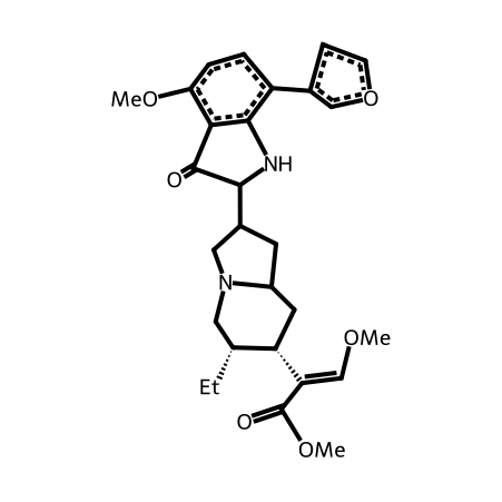 CC[C@@H]1CN2CC(C3Nc4c(-c5ccoc5)ccc(OC)c4C3=O)CC2C[C@@H]1/C(=C\OC)C(=O)OC